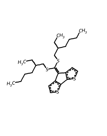 CCCCC(CC)CSC(SCC(CC)CCCC)=C1c2ccsc2-c2sccc21